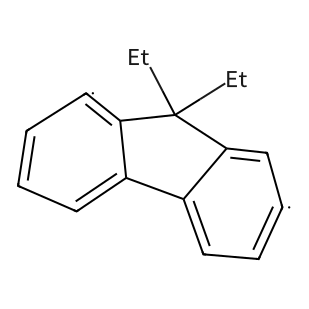 CCC1(CC)c2[c]cccc2-c2cc[c]cc21